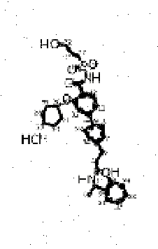 CC(NCCCc1ccc(-c2ccc(C(=O)NS(=O)(=O)CCCO)c(OC3CCCCC3)c2)cc1)c1ccccc1O.Cl